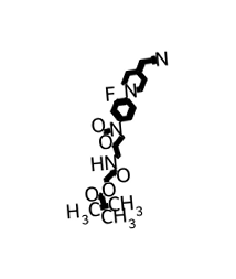 CC(C)(C)C(=O)OCC(=O)NCC1CN(c2ccc(N3CCC(=CC#N)CC3)c(F)c2)C(=O)O1